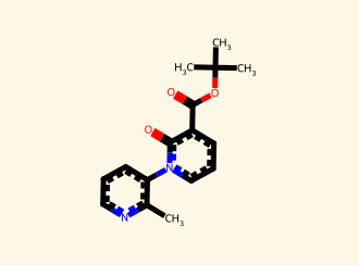 Cc1ncccc1-n1cccc(C(=O)OC(C)(C)C)c1=O